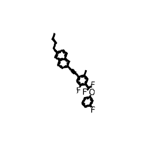 CCCCc1ccc2cc(C#Cc3cc(F)c(C(F)(F)Oc4cccc(F)c4)cc3C)ccc2c1